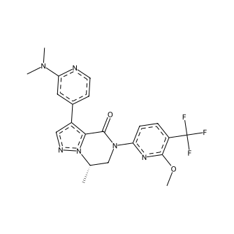 COc1nc(N2C[C@H](C)n3ncc(-c4ccnc(N(C)C)c4)c3C2=O)ccc1C(F)(F)F